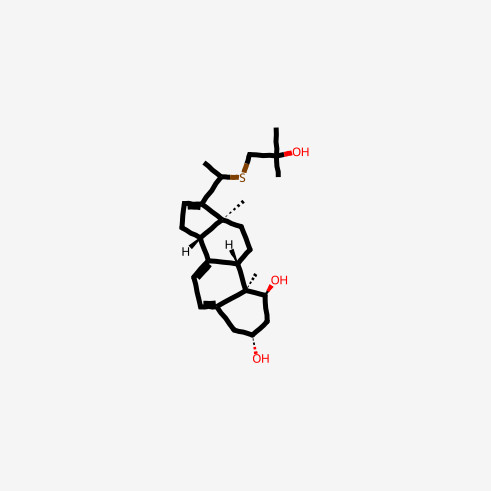 CC(SCC(C)(C)O)C1=CC[C@H]2C3=CC=C4C[C@@H](O)C[C@H](O)[C@]4(C)[C@H]3CC[C@]12C